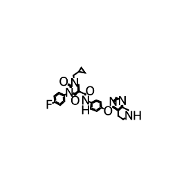 O=C(Nc1ccc(Oc2ncnc3c2CCNC3)cc1)c1cn(CC2CC2)c(=O)n(-c2ccc(F)cc2)c1=O